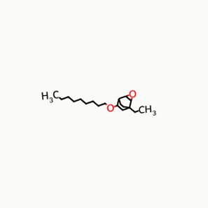 CCCCCCCCCOC1CC2(CC)CCC1C1OC12